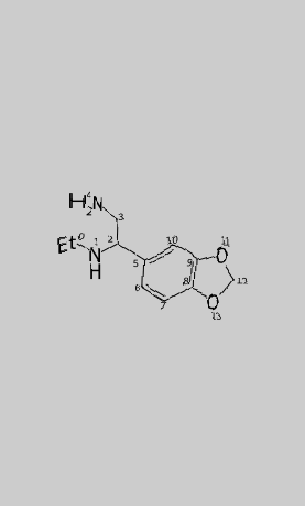 CCNC(CN)c1ccc2c(c1)OCO2